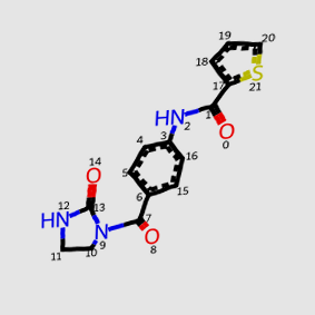 O=C(Nc1ccc(C(=O)N2CCNC2=O)cc1)c1cccs1